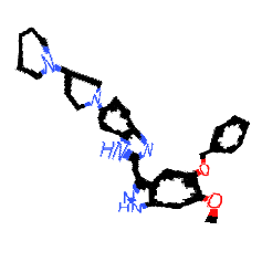 COc1cc2[nH]nc(-c3nc4ccc(N5CCC(N6CCCCC6)CC5)cc4[nH]3)c2cc1OCc1ccccc1